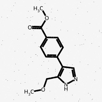 COCc1[nH]ncc1-c1ccc(C(=O)OC)cc1